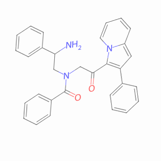 NC(CN(CC(=O)c1c(-c2ccccc2)cc2ccccn12)C(=O)c1ccccc1)c1ccccc1